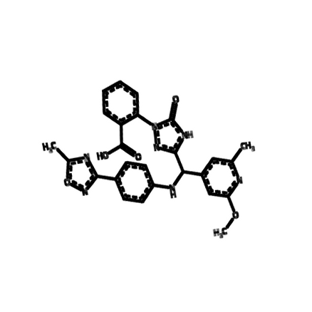 COc1cc(C(Nc2ccc(-c3noc(C)n3)cc2)c2nn(-c3ccccc3C(=O)O)c(=O)[nH]2)cc(C)n1